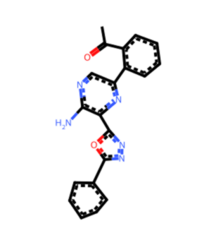 CC(=O)c1ccccc1-c1cnc(N)c(-c2nnc(-c3ccccc3)o2)n1